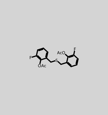 CC(=O)Oc1c(F)cccc1CSCc1cccc(F)c1OC(C)=O